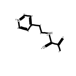 C=C(C)C(=O)NCCc1ccncc1